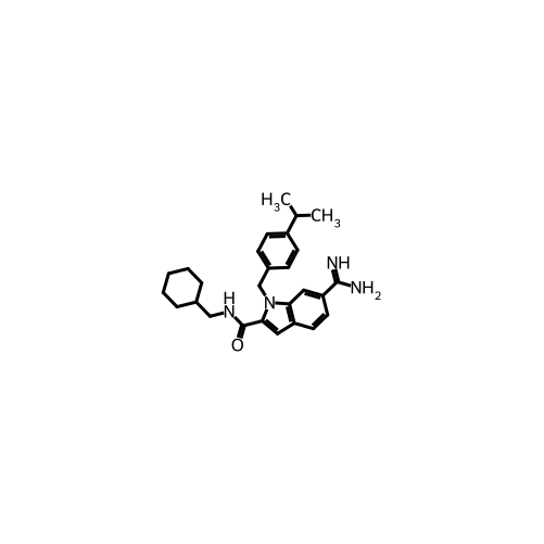 CC(C)c1ccc(Cn2c(C(=O)NCC3CCCCC3)cc3ccc(C(=N)N)cc32)cc1